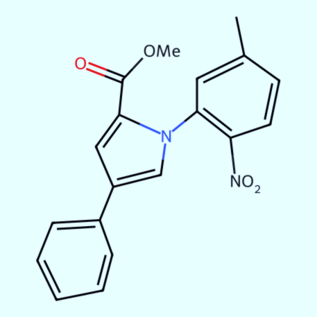 COC(=O)c1cc(-c2ccccc2)cn1-c1cc(C)ccc1[N+](=O)[O-]